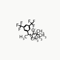 C[C@@H](c1cc(C(F)(F)F)cc(C(F)(F)F)c1)N(C)[S@+]([O-])C(C)(C)C